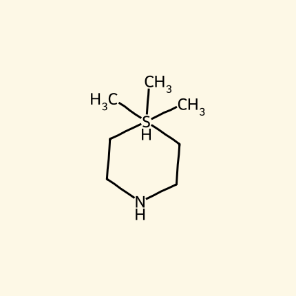 C[SH]1(C)(C)CCNCC1